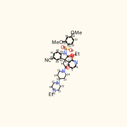 CCOc1ncccc1C1(CC(=O)N2CCC(N3CCN(CC)CC3)CC2)C(=O)N(S(=O)(=O)c2ccc(OC)cc2OC)c2ccc(C#N)cc21